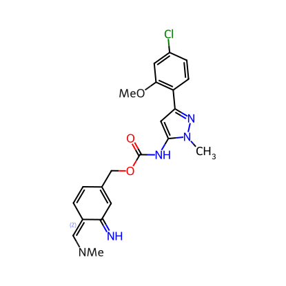 CN/C=C1/C=CC(COC(=O)Nc2cc(-c3ccc(Cl)cc3OC)nn2C)=CC1=N